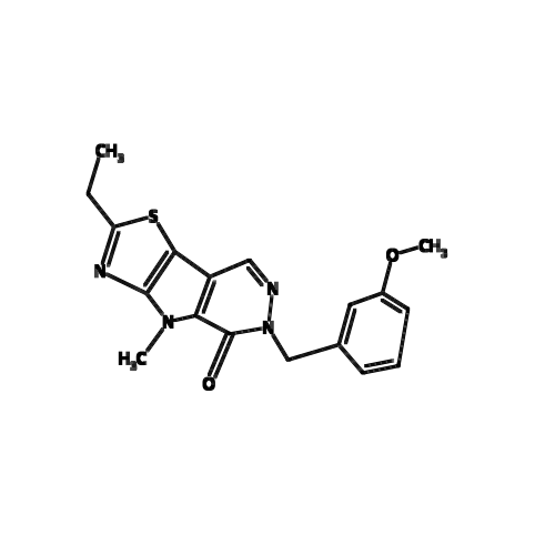 CCc1nc2c(s1)c1cnn(Cc3cccc(OC)c3)c(=O)c1n2C